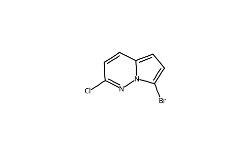 Clc1ccc2ccc(Br)n2n1